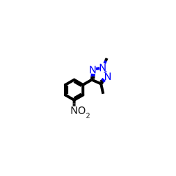 Cc1nn(C)nc1-c1cccc([N+](=O)[O-])c1